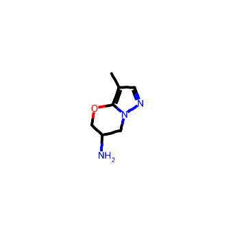 Cc1cnn2c1OCC(N)C2